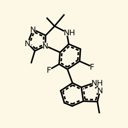 Cc1n[nH]c2c(-c3c(F)cc4c(c3F)-n3c(C)nnc3C(C)(C)N4)cccc12